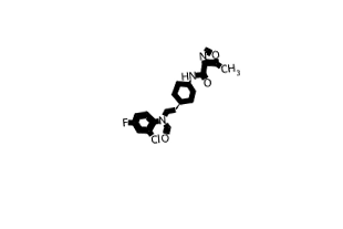 Cc1ocnc1C(=O)N[C@H]1CC[C@@H](CCN(C=O)c2ccc(F)cc2Cl)CC1